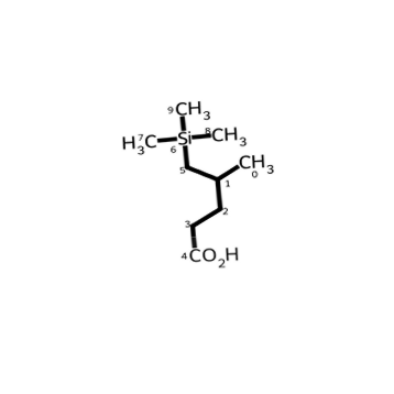 CC(CCC(=O)O)C[Si](C)(C)C